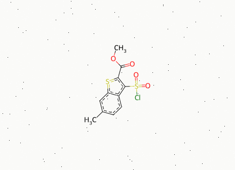 COC(=O)c1sc2cc(C)ccc2c1S(=O)(=O)Cl